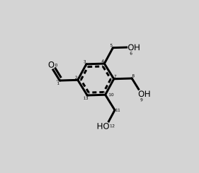 O=[C]c1cc(CO)c(CO)c(CO)c1